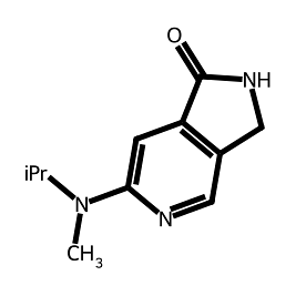 CC(C)N(C)c1cc2c(cn1)CNC2=O